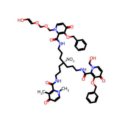 Cc1c(C(=O)NCCC[C@](CCCNC(=O)c2c(OCc3ccccc3)c(=O)ccn2CO)(CCCNC(=O)c2c(OCc3ccccc3)c(=O)ccn2COCO/C=C/O)[N+](=O)[O-])n(C)ccc1=O